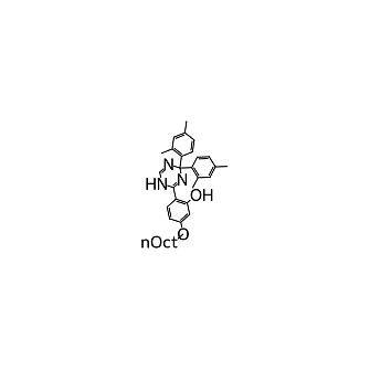 CCCCCCCCOc1ccc(C2=NC(c3ccc(C)cc3C)(c3ccc(C)cc3C)N=CN2)c(O)c1